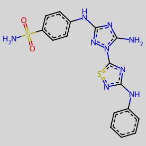 Nc1nc(Nc2ccc(S(N)(=O)=O)cc2)nn1-c1nc(Nc2ccccc2)ns1